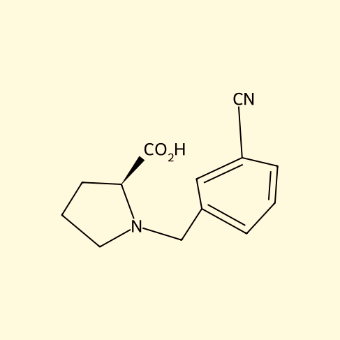 N#Cc1cccc(CN2CCC[C@H]2C(=O)O)c1